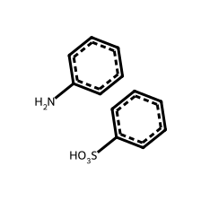 Nc1ccccc1.O=S(=O)(O)c1ccccc1